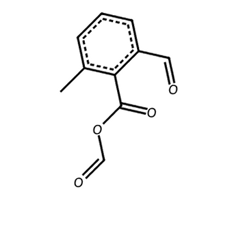 Cc1cccc(C=O)c1C(=O)OC=O